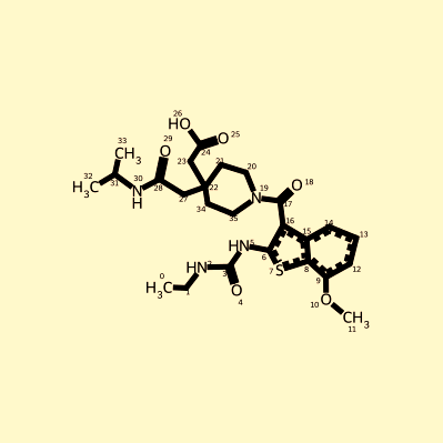 CCNC(=O)Nc1sc2c(OC)cccc2c1C(=O)N1CCC(CC(=O)O)(CC(=O)NC(C)C)CC1